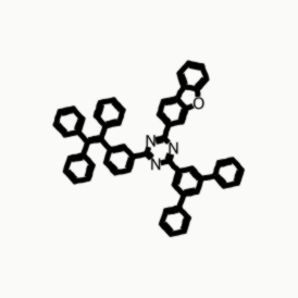 c1ccc(C(=C(c2ccccc2)c2cccc(-c3nc(-c4cc(-c5ccccc5)cc(-c5ccccc5)c4)nc(-c4ccc5c(c4)oc4ccccc45)n3)c2)c2ccccc2)cc1